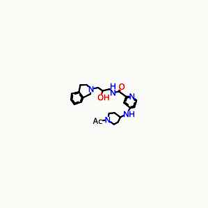 CC(=O)N1CCC(Nc2ccnc(C(=O)NCC(O)CN3CCc4ccccc4C3)c2)CC1